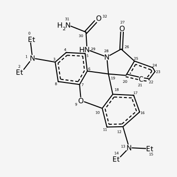 CCN(CC)c1ccc2c(c1)Oc1cc(N(CC)CC)ccc1C21c2ccccc2C(=O)N1NC(N)=O